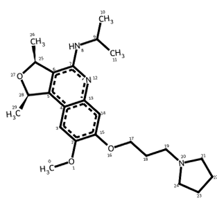 COc1cc2c3c(c(NC(C)C)nc2cc1OCCCN1CCCC1)[C@H](C)O[C@@H]3C